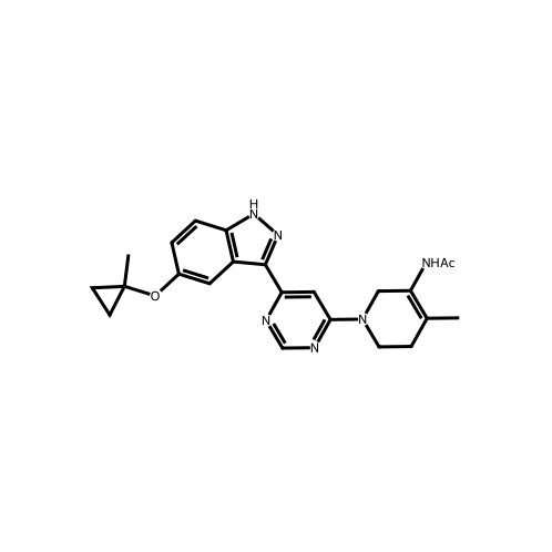 CC(=O)NC1=C(C)CCN(c2cc(-c3n[nH]c4ccc(OC5(C)CC5)cc34)ncn2)C1